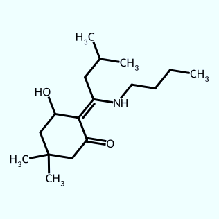 CCCCN/C(CC(C)C)=C1\C(=O)CC(C)(C)CC1O